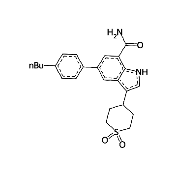 CCCCc1ccc(-c2cc(C(N)=O)c3[nH]cc(C4CCS(=O)(=O)CC4)c3c2)cc1